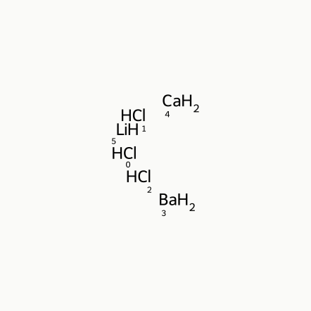 Cl.Cl.Cl.[BaH2].[CaH2].[LiH]